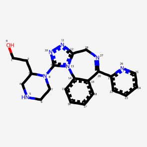 OCCC1CNCCN1c1nnc2n1-c1ccccc1C(c1ccccn1)=NC2